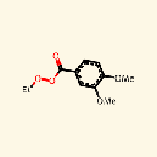 [CH2]COOC(=O)c1ccc(OC)c(OC)c1